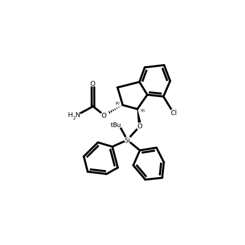 CC(C)(C)[Si](O[C@@H]1c2c(Cl)cccc2C[C@H]1OC(N)=O)(c1ccccc1)c1ccccc1